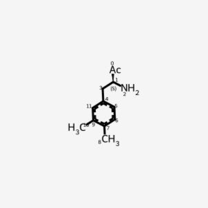 CC(=O)[C@@H](N)Cc1ccc(C)c(C)c1